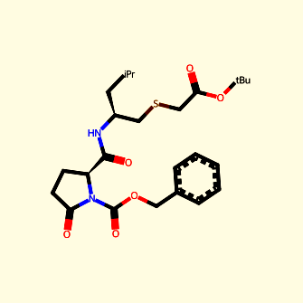 CC(C)C[C@@H](CSCC(=O)OC(C)(C)C)NC(=O)[C@@H]1CCC(=O)N1C(=O)OCc1ccccc1